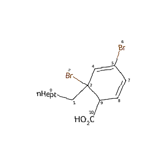 CCCCCCCCC1(Br)C=C(Br)C=CC1C(=O)O